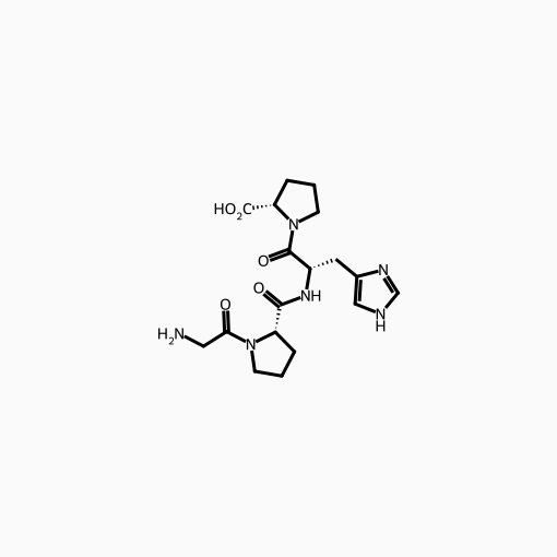 NCC(=O)N1CCC[C@H]1C(=O)N[C@@H](Cc1c[nH]cn1)C(=O)N1CCC[C@H]1C(=O)O